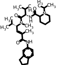 C/C(=C\[C@H](C(C)C)N(C)C(=O)[C@@H](NC(=O)C1CCCCN1C(C)C)C(C)C)C(=O)Nc1ccc2c(c1)CCC2